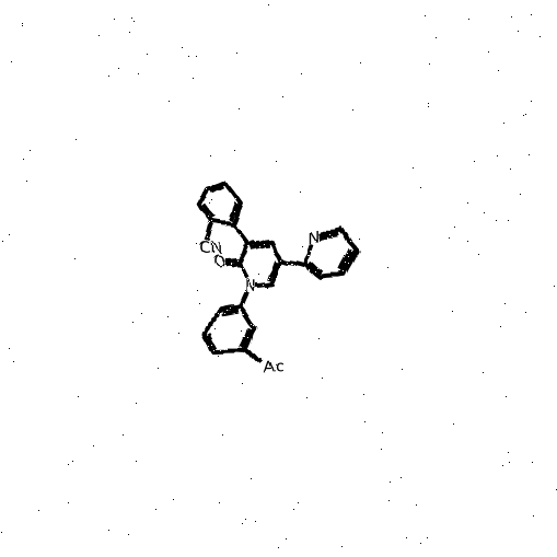 CC(=O)c1cccc(-n2cc(-c3ccccn3)cc(-c3ccccc3C#N)c2=O)c1